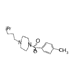 Cc1ccc(S(=O)(=O)N2CCN(CCCC(C)C)CC2)cc1